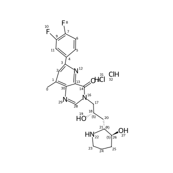 Cc1cc(-c2ccc(F)c(F)c2)nc2c(=O)n(C[C@@H](O)C[C@H]3NCCC[C@@H]3O)cnc12.Cl.Cl